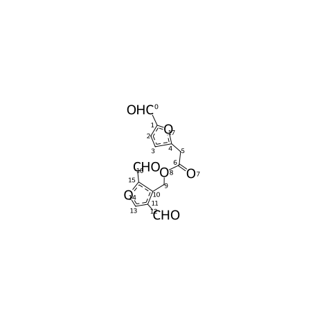 O=Cc1ccc(CC(=O)OCc2c(C=O)coc2C=O)o1